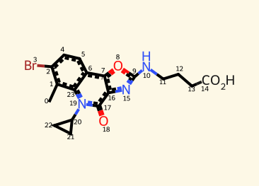 Cc1c(Br)ccc2c3oc(NCCCC(=O)O)nc3c(=O)n(C3CC3)c12